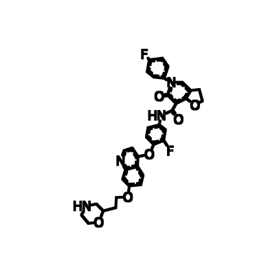 O=C(Nc1ccc(Oc2ccnc3cc(OCCC4CNCCO4)ccc23)c(F)c1)c1c2c(cn(-c3ccc(F)cc3)c1=O)CCO2